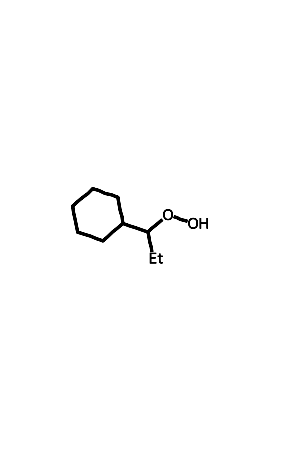 CCC(OO)C1CCCCC1